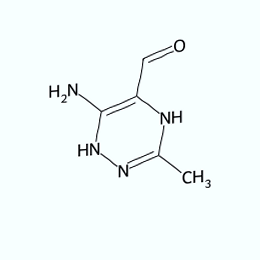 CC1=NNC(N)=C(C=O)N1